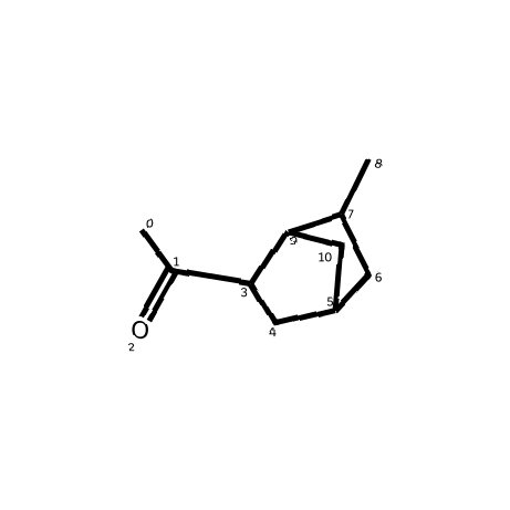 CC(=O)C1CC2CC(C)C1C2